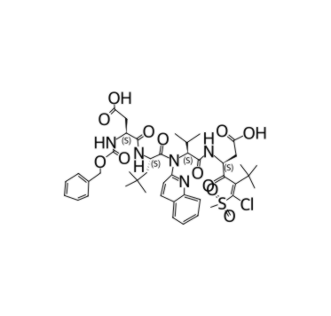 CC(C)[C@@H](C(=O)N[C@@H](CC(=O)O)C(=O)C(=C(Cl)S(C)(=O)=O)C(C)(C)C)N(C(=O)[C@H](CC(C)(C)C)NC(=O)[C@H](CC(=O)O)NC(=O)OCc1ccccc1)c1ccc2ccccc2n1